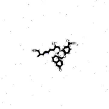 CCC(CC/C=C/CC(C)CS)CN1C[C@@]2(CCCc3cc(Cl)ccc32)COc2ccc(C(N)=O)cc21